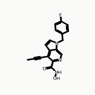 CC#Cc1c(C(=O)NO)ncc2c1ccn2Cc1ccc(F)cc1